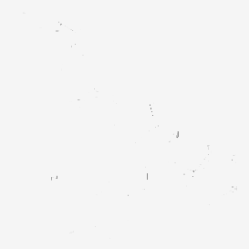 N#Cc1cc(-c2cc(NC3CCN(C(=O)CC4=CNC(Cl)C=C4)CC3)c3c(c2)=CCNC=3)ccc1F